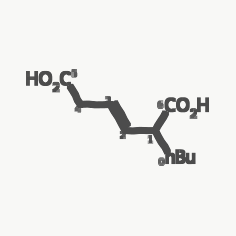 CCCCC(C=CCC(=O)O)C(=O)O